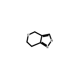 C1=C2COCCC2=N[N]1